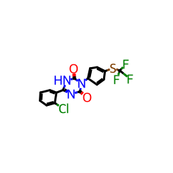 O=c1nc(-c2ccccc2Cl)[nH]c(=O)n1-c1ccc(SC(F)(F)F)cc1